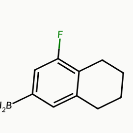 Bc1cc(F)c2c(c1)CCCC2